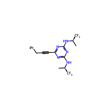 CC(C)CC#Cc1nc(N[C@H](C)C(F)(F)F)nc(N[C@H](C)C(F)(F)F)n1